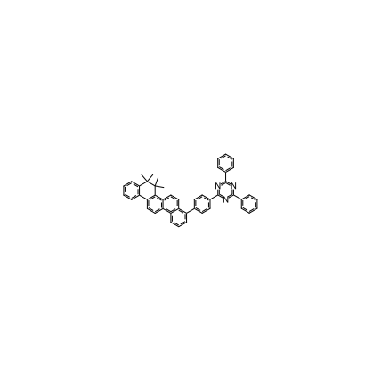 CC1(C)c2ccccc2-c2ccc3c(ccc4c(-c5ccc(-c6nc(-c7ccccc7)nc(-c7ccccc7)n6)cc5)cccc43)c2C1(C)C